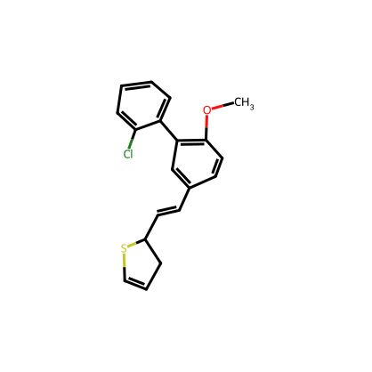 COc1ccc(C=CC2CC=CS2)cc1-c1ccccc1Cl